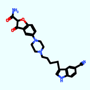 N#Cc1ccc2[nH]cc(CCCCN3CCN(c4ccc5c(c4)C(=O)C(C(N)=O)O5)CC3)c2c1